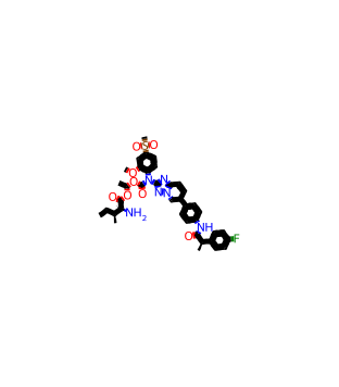 CC[C@H](C)[C@H](N)C(=O)OC(C)OC(=O)N(c1nc2n(n1)CC(c1ccc(NC(=O)[C@H](C)c3ccc(F)cc3)cc1)C=C2)c1ccc(S(C)(=O)=O)cc1OC